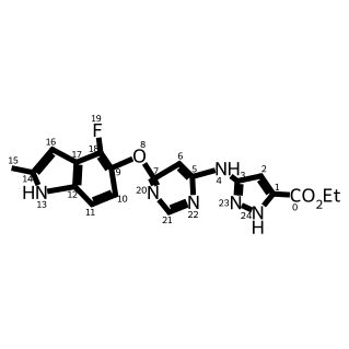 CCOC(=O)c1cc(Nc2cc(Oc3ccc4[nH]c(C)cc4c3F)ncn2)n[nH]1